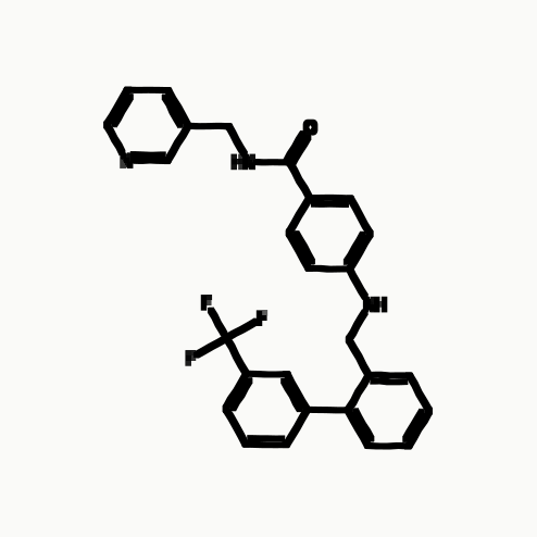 O=C(NCc1cccnc1)c1ccc(NCc2ccccc2-c2cccc(C(F)(F)F)c2)cc1